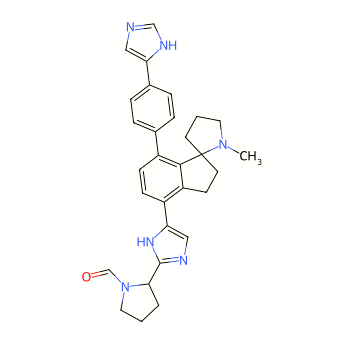 CN1CCCC12CCc1c(-c3cnc(C4CCCN4C=O)[nH]3)ccc(-c3ccc(-c4cnc[nH]4)cc3)c12